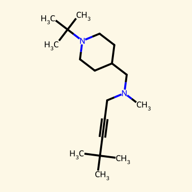 CN(CC#CC(C)(C)C)CC1CCN(C(C)(C)C)CC1